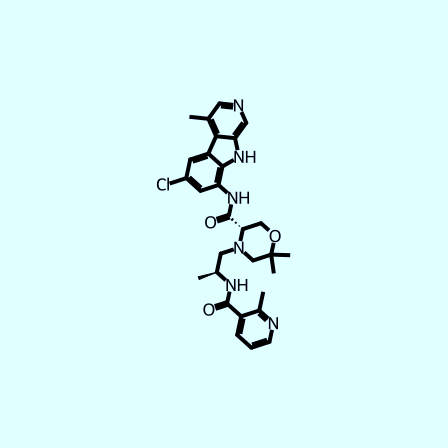 Cc1ncccc1C(=O)N[C@@H](C)CN1CC(C)(C)OC[C@H]1C(=O)Nc1cc(Cl)cc2c1[nH]c1cncc(C)c12